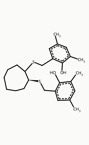 Cc1cc(C)c(O)c(CSC2CCCCCC[C@@H]2SCc2cc(C)cc(C)c2O)c1